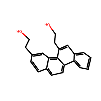 OCCc1ccc2ccc3c4ccccc4cc(CCO)c3c2c1